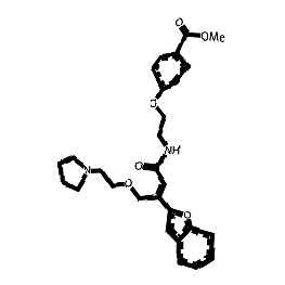 COC(=O)c1ccc(OCCNC(=O)C=C(COCCN2CCCC2)c2cc3ccccc3o2)cc1